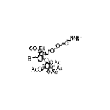 CCOC(=O)c1cc2c(CBr)ccc(O[C@@H]3O[C@H](COC(C)=O)[C@H](OC(C)=O)[C@H](OC(C)=O)[C@H]3OC(C)=O)c2n1CCOCCOCCOCCN=[N+]=[N-]